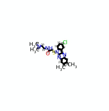 Cc1cc2nc3c4cc(Cl)ccc4n(SCC(=O)NCCN(C)C)c3nc2cc1C